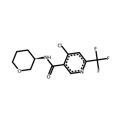 O=C(N[C@@H]1CCCOC1)c1cnc(C(F)(F)F)cc1Cl